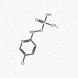 [CH2]P(=O)(O)ONc1ccc(Cl)cn1